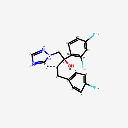 C[C@@H](Cc1ccc(F)cc1)[C@](O)(Cn1cncn1)c1ccc(F)cc1F